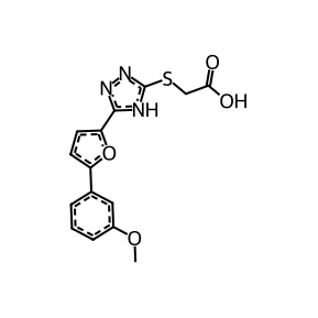 COc1cccc(-c2ccc(-c3nnc(SCC(=O)O)[nH]3)o2)c1